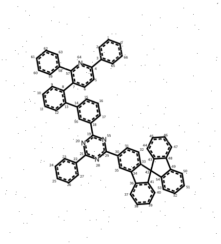 c1ccc(-c2ccc(-c3ccccc3-c3cccc(-c4nc(-c5ccccc5)nc(-c5ccc6c(c5)-c5ccccc5C65c6ccccc6-c6ccccc65)n4)c3)c(-c3ccccc3)n2)cc1